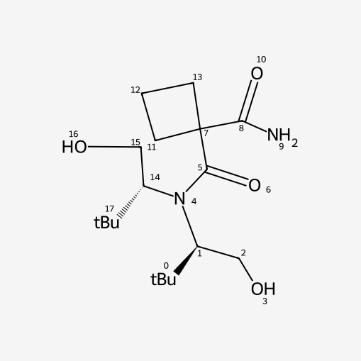 CC(C)(C)[C@H](CO)N(C(=O)C1(C(N)=O)CCC1)[C@@H](CO)C(C)(C)C